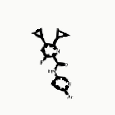 CC(=O)c1ccc(NC(=O)c2nc(C3CC3)c(C3CC3)cc2F)cn1